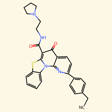 N#CCc1ccc(-c2ccc3c(=O)c(C(=O)NCCN4CCCC4)c4sc5ccccc5n4c3n2)cc1